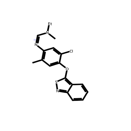 CCN(C)/C=N\c1cc(Cl)c(Oc2snc3ccccc23)cc1C